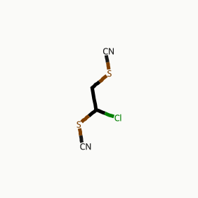 N#CSCC(Cl)SC#N